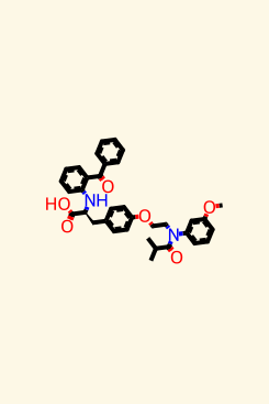 COc1cccc(N(CCOc2ccc(C[C@H](Nc3ccccc3C(=O)c3ccccc3)C(=O)O)cc2)C(=O)C(C)C)c1